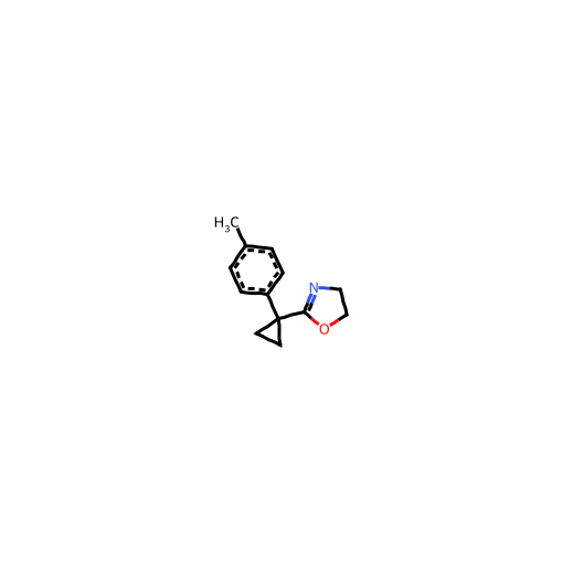 Cc1ccc(C2(C3=NCCO3)CC2)cc1